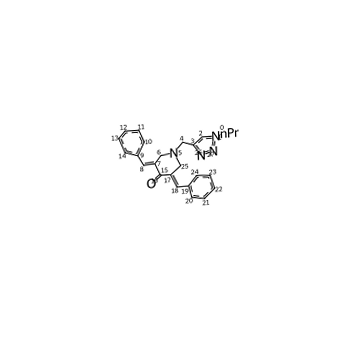 CCCn1cc(CN2C/C(=C\c3ccccc3)C(=O)/C(=C/c3ccccc3)C2)nn1